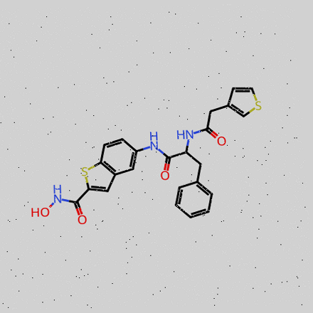 O=C(Cc1ccsc1)NC(Cc1ccccc1)C(=O)Nc1ccc2sc(C(=O)NO)cc2c1